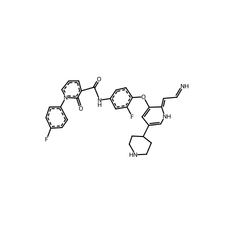 N=C/C=C1\NC=C(C2CCNCC2)C=C1Oc1ccc(NC(=O)c2cccn(-c3ccc(F)cc3)c2=O)cc1F